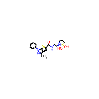 Cc1nn(-c2ccccc2)c2sc(C(=O)NCCN3CCCS3(O)O)cc12